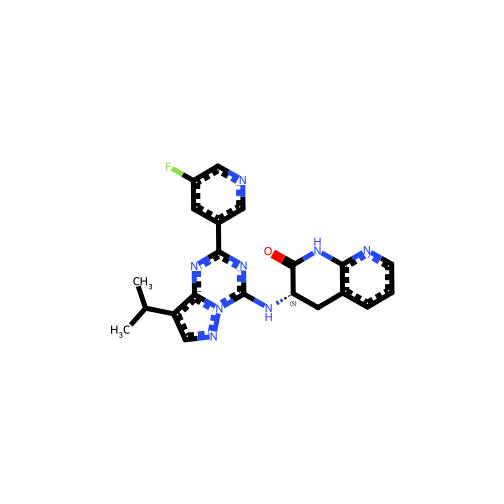 CC(C)c1cnn2c(N[C@H]3Cc4cccnc4NC3=O)nc(-c3cncc(F)c3)nc12